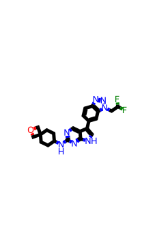 FC(F)Cn1nnc2ccc(-c3c[nH]c4nc(NC5CCC6(CC5)COC6)ncc34)cc21